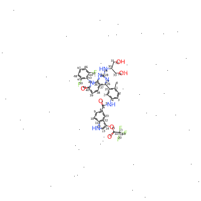 Cc1ccc(NC(=O)c2ccc3[nH]cc(OC(=O)C(F)(F)F)c3c2)cc1-c1nc(NC(CO)CO)nc2c1ccc(=O)n2-c1c(F)cccc1F